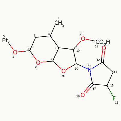 CCOC1CC(C)C2C(O1)OC(N1C(=O)CC(F)C1=O)C2OC(=O)O